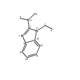 [CH2]Cn1c(N(C)C)nc2ccccc21